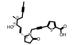 CC#CC[C@H](C)[C@@H](O)C=C[C@H]1CCC(=O)N1CC#Cc1ccc(C(=O)O)s1